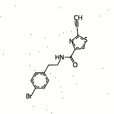 C#Cc1nc(C(=O)NCCc2ccc(Br)cc2)cs1